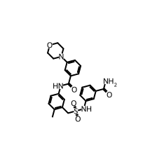 Cc1ccc(NC(=O)c2cccc(N3CCOCC3)c2)cc1CS(=O)(=O)Nc1cccc(C(N)=O)c1